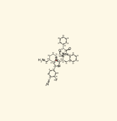 N#Cc1ccc(-c2c[nH]c([C@H](Cc3ccccc3NC(=O)Cc3ccccc3)NC(=O)[C@H]3CC[C@H](CN)CC3)n2)cc1F